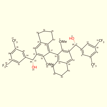 COc1c([C@H](O)c2cc(C(F)(F)F)cc(C(F)(F)F)c2)cc2c(c1-c1c3c(cc([C@H](O)c4cc(C(F)(F)F)cc(C(F)(F)F)c4)c1OC)CCCC3)CCCC2